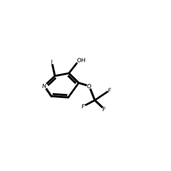 Oc1c(OC(F)(F)F)ccnc1I